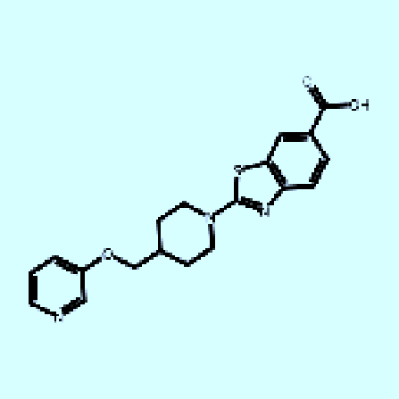 O=C(O)c1ccc2nc(N3CCC(COc4cccnc4)CC3)sc2c1